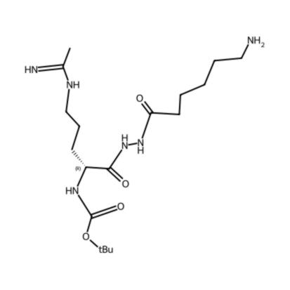 CC(=N)NCCC[C@@H](NC(=O)OC(C)(C)C)C(=O)NNC(=O)CCCCCN